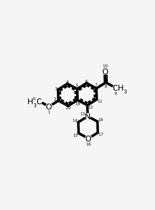 COc1ccc2cc(C(C)=O)cc(N3CCOCC3)c2c1